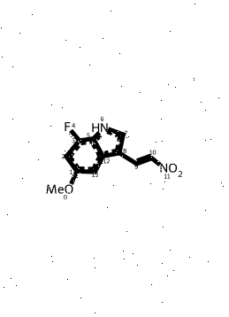 COc1cc(F)c2[nH]cc(C=C[N+](=O)[O-])c2c1